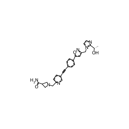 C[C@H](O)c1nccn1Cc1cc(-c2ccc(C#Cc3ccc(CN4CC(C(N)=O)C4)nc3)cc2)on1